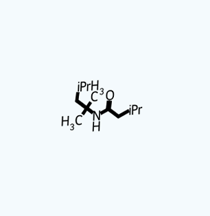 CC(C)CC(=O)NC(C)(C)CC(C)C